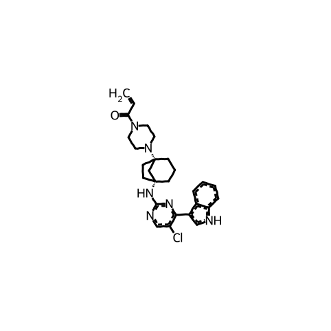 C=CC(=O)N1CCN([C@@]23CCC[C@@](Nc4ncc(Cl)c(-c5c[nH]c6ccccc56)n4)(CC2)C3)CC1